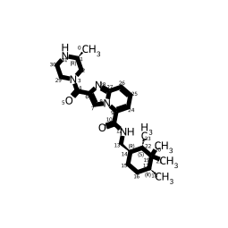 C[C@@H]1CN(C(=O)c2cn3c(C(=O)NC[C@@H]4CC[C@@H](C)C(C)(C)[C@H]4C)cccc3n2)CCN1